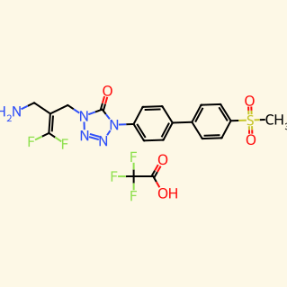 CS(=O)(=O)c1ccc(-c2ccc(-n3nnn(CC(CN)=C(F)F)c3=O)cc2)cc1.O=C(O)C(F)(F)F